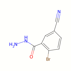 N#Cc1ccc(Br)c(C(=O)NN)c1